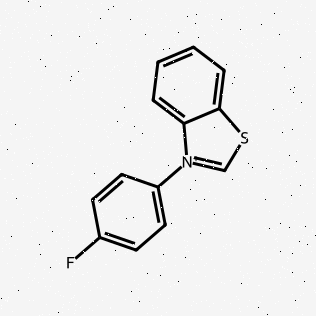 Fc1ccc(-[n+]2csc3ccccc32)cc1